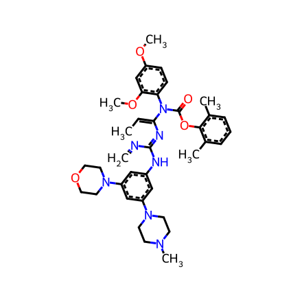 C=N/C(=N\C(=C/C)N(C(=O)Oc1c(C)cccc1C)c1ccc(OC)cc1OC)Nc1cc(N2CCOCC2)cc(N2CCN(C)CC2)c1